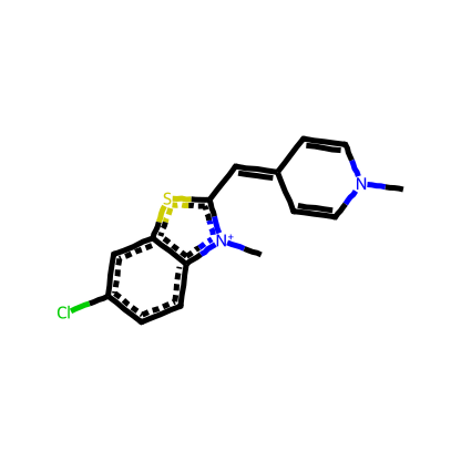 CN1C=CC(=Cc2sc3cc(Cl)ccc3[n+]2C)C=C1